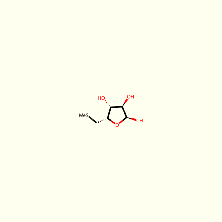 CSC[C@H]1O[C@H](O)[C@H](O)[C@H]1O